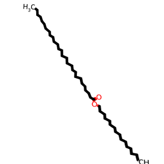 CCCCCCCCCCCCCCCCCCCCCCCCCCCC(=O)OCCCCCCCCCCCCCCCCC